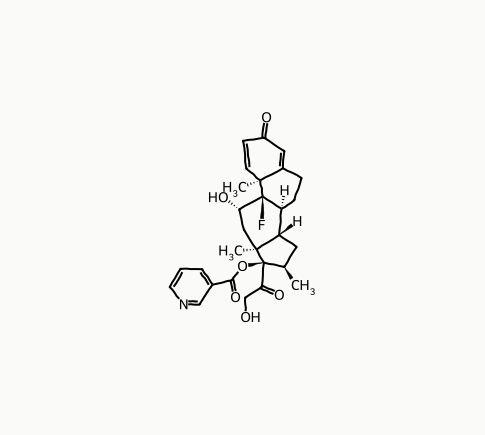 C[C@@H]1C[C@H]2[C@@H]3CCC4=CC(=O)C=C[C@]4(C)[C@@]3(F)[C@@H](O)C[C@]2(C)[C@@]1(OC(=O)c1cccnc1)C(=O)CO